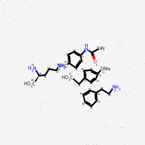 CCCC(=O)Nc1ccc(C=O)cc1.COc1ccc(CC(=O)O)cc1.NCCC[C@H](N)C(=O)O.NCCc1ccccc1